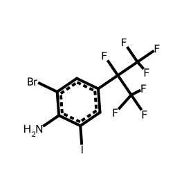 Nc1c(Br)cc(C(F)(C(F)(F)F)C(F)(F)F)cc1I